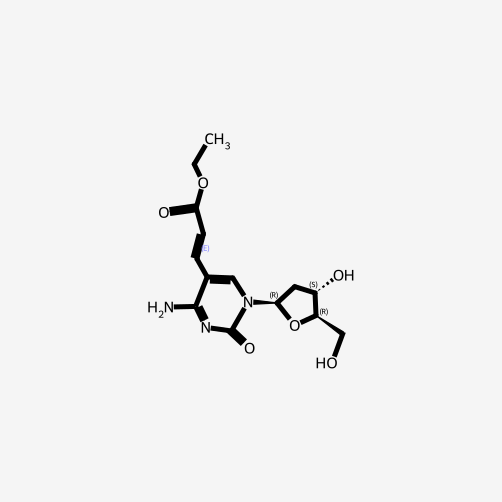 CCOC(=O)/C=C/c1cn([C@H]2C[C@H](O)[C@@H](CO)O2)c(=O)nc1N